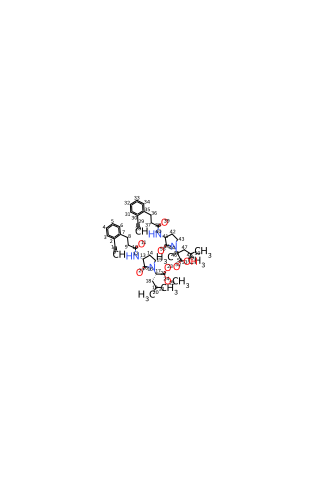 C#Cc1ccccc1CCC(=O)N[C@@H]1CCN([C@@H](CC(C)C)C(=O)OC)C1=O.C#Cc1ccccc1CCC(=O)N[C@@H]1CCN([C@@](C)(CC(C)C)C(=O)O)C1=O